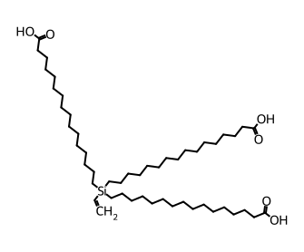 C=C[Si](CCCCCCCCCCCCCCCC(=O)O)(CCCCCCCCCCCCCCCC(=O)O)CCCCCCCCCCCCCCCC(=O)O